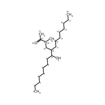 CCCCCCCCC(O)C(CCCCCCCC)CN(C)C(C)=O